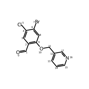 O=Cc1cc(Cl)c(Br)cc1OCc1cccnc1